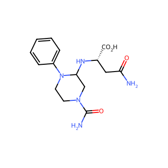 NC(=O)C[C@H](NC1CN(C(N)=O)CCN1c1ccccc1)C(=O)O